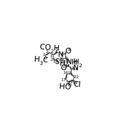 C/C=C\C1=C(C(=O)O)N2C(=O)[C@@H](NC(=O)C(N)c3ccc(O)c(Cl)c3)[C@H]2SC1